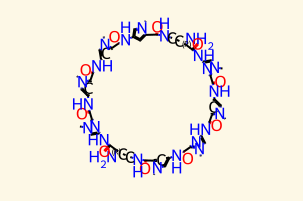 Cn1cc2cc1C(=O)NCC[C@@H](N)C(=O)Nc1cn(C)c(n1)C(=O)Nc1cc(n(C)c1)C(=O)Nc1cn(C)c(n1)C(=O)Nc1cc(n(C)c1)C(=O)NCC[C@@H](N)C(=O)Nc1cn(C)c(n1)C(=O)Nc1cc(n(C)c1)C(=O)Nc1cc(n(C)c1)C(=O)N2